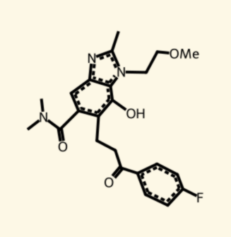 COCCn1c(C)nc2cc(C(=O)N(C)C)c(CCC(=O)c3ccc(F)cc3)c(O)c21